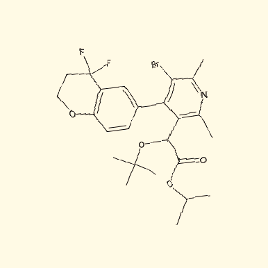 Cc1nc(C)c(C(OC(C)(C)C)C(=O)OC(C)C)c(-c2ccc3c(c2)C(F)(F)CCO3)c1Br